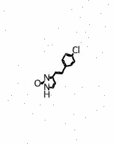 O=c1nc(C=Cc2ccc(Cl)cc2)cc[nH]1